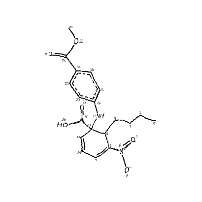 CCCCC1C([N+](=O)[O-])=CC=CC1(Nc1ccc(C(=O)OC)cc1)C(=O)O